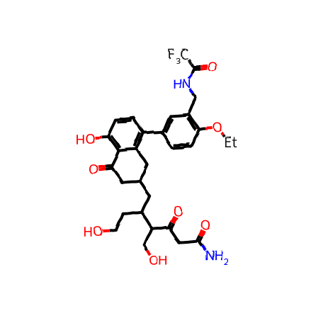 CCOc1ccc(-c2ccc(O)c3c2CC(CC(CCO)C(CO)C(=O)CC(N)=O)CC3=O)cc1CNC(=O)C(F)(F)F